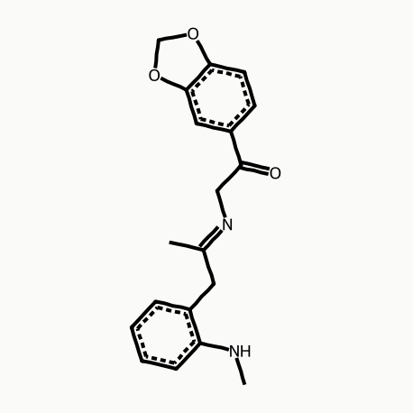 CNc1ccccc1C/C(C)=N/CC(=O)c1ccc2c(c1)OCO2